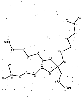 CCCCCCCCOCC(CCCCCOCCCC)(COCCCN(C)C)COCCCN(C)C